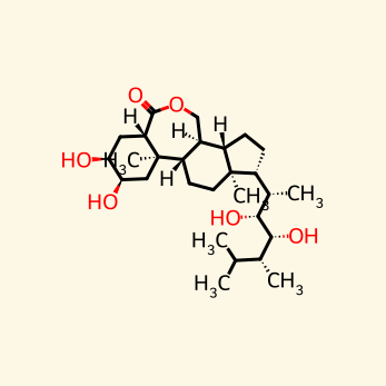 CC(C)[C@@H](C)[C@@H](O)[C@H](O)[C@@H](C)[C@H]1CC[C@H]2[C@@H]3COC(=O)[C@H]4C[C@H](O)[C@H](O)C[C@]4(C)[C@H]3CC[C@]12C